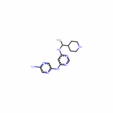 CC(Nc1cc(Nc2cnc(N)cn2)ncn1)C1CCNCC1